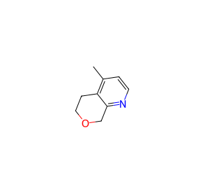 Cc1ccnc2c1CCOC2